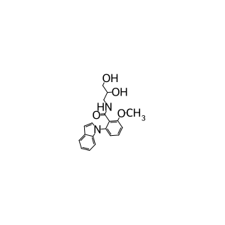 COc1cccc(-n2ccc3ccccc32)c1C(=O)NCC(O)CO